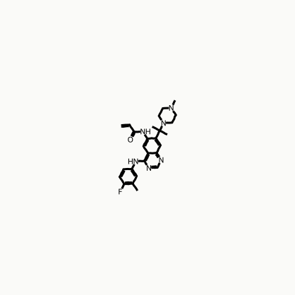 C=CC(=O)Nc1cc2c(Nc3ccc(F)c(C)c3)ncnc2cc1C(C)(C)N1CCN(C)CC1